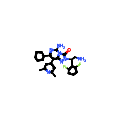 Cc1cc(-c2c(-c3ccccc3)nc(N)n3c(=O)n(C(CN)c4c(F)cccc4F)nc23)cc(C)n1